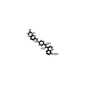 COc1cccc2c([C@@H](O)[C@H](O)C3CCC(NCc4ccc5c(n4)NC(=O)CO5)CC3)ccnc12